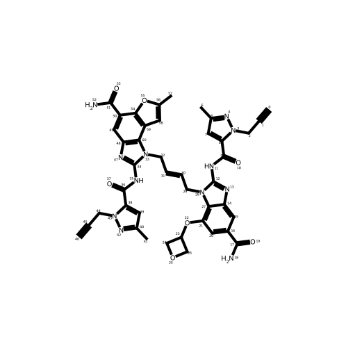 C#CCn1nc(C)cc1C(=O)Nc1nc2cc(C(N)=O)cc(OC3COC3)c2n1C/C=C/Cn1c(NC(=O)c2cc(C)nn2CC#C)nc2cc(C(N)=O)c3oc(C)cc3c21